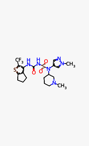 CN1CCCC(N(c2cnn(C)c2)S(=O)(=O)NC(=O)Nc2c(C(F)(F)F)sc3c2CCC3)C1